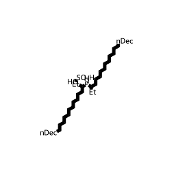 CCCCCCCCCCCCCCCCCCCCCC(CC)PC(CC)CCCCCCCCCCCCCCCCCCCCC.O=S(=O)(O)O